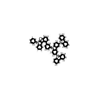 c1ccc(-n2c3ccccc3c3c4c(-c5cccc(-n6c7ccc(-n8c9ccccc9c9ccccc98)cc7c7cc(-n8c9ccccc9c9ccccc98)ccc76)c5)cccc4oc32)cc1